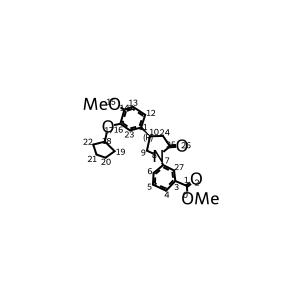 COC(=O)c1cccc(N2C[C@@H](c3ccc(OC)c(OC4CCCC4)c3)CC2=O)c1